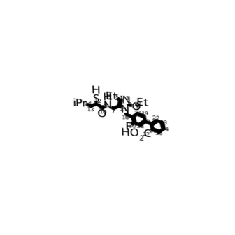 CCOc1nc(CC)c(CNC(=O)[C@@H](S)CC(C)C)n1Cc1ccc(-c2ccccc2C(=O)O)cc1F